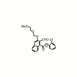 CCc1ccccc1NC(=O)c1c(C=O)c(OCOCCOC)cc2ccccc12